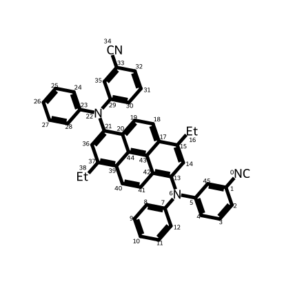 [C-]#[N+]c1cccc(N(c2ccccc2)c2cc(CC)c3ccc4c(N(c5ccccc5)c5cccc(C#N)c5)cc(CC)c5ccc2c3c54)c1